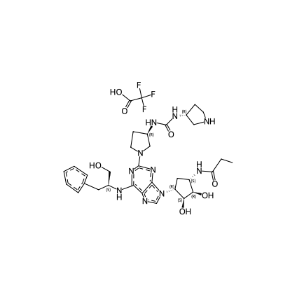 CCC(=O)N[C@H]1C[C@@H](n2cnc3c(N[C@H](CO)Cc4ccccc4)nc(N4CC[C@@H](NC(=O)N[C@@H]5CCNC5)C4)nc32)[C@H](O)[C@@H]1O.O=C(O)C(F)(F)F